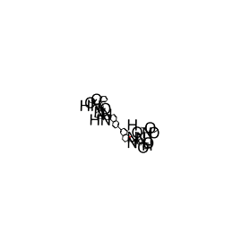 COC(=O)NC(C(=O)N1CC2(C[C@H]1c1nc3c([nH]1)-c1ccc(-c4ccc5c(ccc6nc([C@@H]7CCCN7C(=O)[C@H](NC(=O)OC)c7ccccc7)[nH]c65)c4)cc1CC3)OCCO2)C(C)C